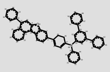 C1=C(c2ccc3c(c2)oc2cc(-c4ccccc4)c4ccccc4c23)CCC(N(c2ccccc2)c2cc(-c3ccccc3)cc(-c3ccccc3)c2)=C1